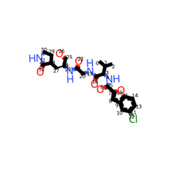 CC(C)C(NC(=O)c1cc2cc(Cl)ccc2o1)C(=O)NCC(=O)N[C@H](C=O)CC1CCNC1=O